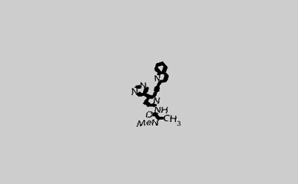 CNC(C)C(=O)Nc1ccc(-c2cncnc2)c(C#Cc2ccc3ccccc3n2)n1